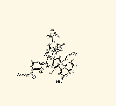 CNC(=O)c1cccc(-c2nc3c(F)c(-c4cc(O)cc5ccccc45)c(CCC#N)cc3c3c2nc(CCC(=O)N(C)C)n3C2C3CNC2C3)c1F